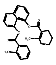 CC1=C(C(=O)Oc2cccc3cccc(OC(=O)c4ccccc4C)c23)CCCC1